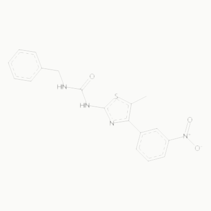 Cc1sc(NC(=O)NCc2ccccc2)nc1-c1cccc([N+](=O)[O-])c1